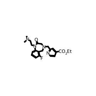 CCOC(=O)c1ccnc(CN2CC(=O)N(CCN(C)C)c3cccc(F)c3C2)c1